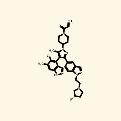 C=CC(=O)N1CCC(n2nc(-c3ccc4c(cnn4CCN4CC[C@H](F)C4)c3)c(-c3c(Cl)c(C)cc4[nH]ncc34)c2C)CC1